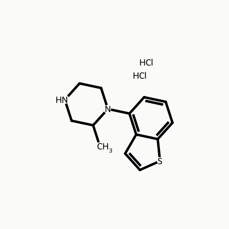 CC1CNCCN1c1cccc2sccc12.Cl.Cl